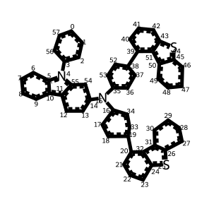 c1ccc(-n2c3ccccc3c3ccc(N(c4ccc(-c5cccc6sc7ccccc7c56)cc4)c4ccc(-c5cccc6sc7ccccc7c56)cc4)cc32)cc1